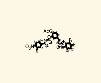 CC(=O)Oc1ccc(/C=C/S(=O)(=O)Cc2c(F)c(F)c(F)c(F)c2F)cc1OC(=O)NC(=O)c1ccc([N+](=O)[O-])c(C)c1